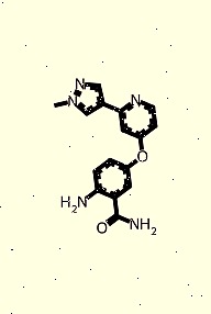 Cn1cc(-c2cc(Oc3ccc(N)c(C(N)=O)c3)ccn2)cn1